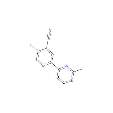 Cc1nccc(-c2cc(C#N)c(F)cn2)n1